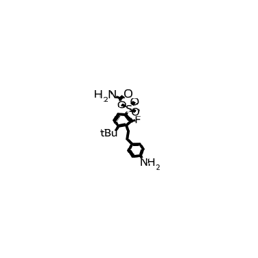 CC(C)(C)c1ccc(S(=O)(=O)OC(N)=O)c(F)c1CCc1ccc(N)cc1